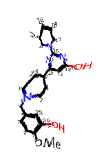 COc1ccc(CN2CCC(c3cc(O)nc(N4CCCCC4)n3)CC2)cc1O